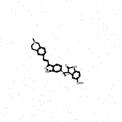 COc1ccc2c(c1)[C@]1(C[C@H]1c1ccc3c(C=Cc4ccc5c(c4)CCN(C)C5)n[nH]c3c1)C(=O)N2